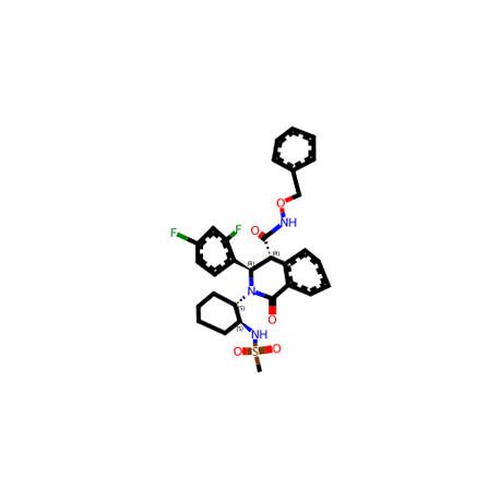 CS(=O)(=O)N[C@H]1CCCC[C@@H]1N1C(=O)c2ccccc2[C@@H](C(=O)NOCc2ccccc2)[C@@H]1c1ccc(F)cc1F